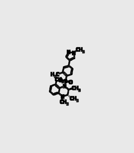 Cc1cc(-c2cnn(C)c2)ccc1S(=O)(=O)N1c2c(C)cccc2N(C)[C@@H](C)[C@@H]1C